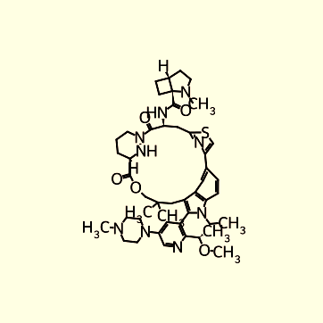 CCn1c(-c2cc(N3CCN(C)CC3)cnc2[C@H](C)OC)c2c3cc(ccc31)-c1csc(n1)C[C@H](NC(=O)[C@@]13CC[C@@H]1CCN3C)C(=O)N1CCC[C@H](N1)C(=O)OCC(C)(C)C2